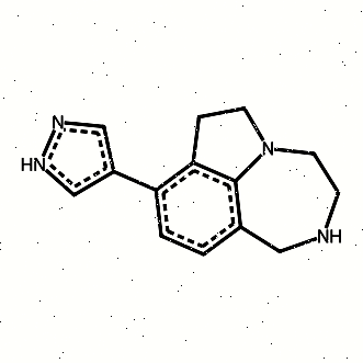 c1n[nH]cc1-c1ccc2c3c1CCN3CCNC2